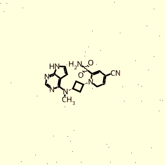 CN(c1ncnc2[nH]ccc12)[C@H]1C[C@@H](N2CC=C(C#N)C=C2S(N)(=O)=O)C1